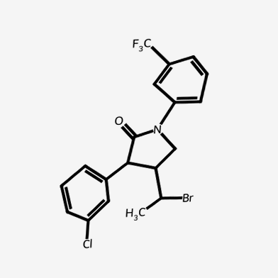 CC(Br)C1CN(c2cccc(C(F)(F)F)c2)C(=O)C1c1cccc(Cl)c1